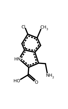 Cc1cc2c(CN)c(C(=O)O)[nH]c2cc1Cl